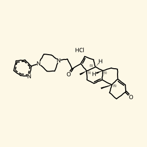 C[C@]12CCC(=O)C=C1CC[C@@H]1C2=CC[C@]2(C)C(C(=O)CN3CCN(c4ccccn4)CC3)=CC[C@@H]12.Cl